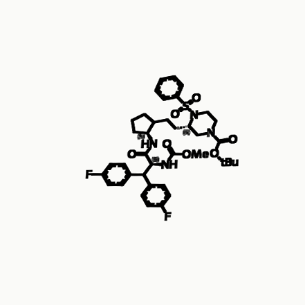 COC(=O)N[C@H](C(=O)N[C@H]1CCCC1CC[C@H]1CN(C(=O)OC(C)(C)C)CCN1S(=O)(=O)c1ccccc1)C(c1ccc(F)cc1)c1ccc(F)cc1